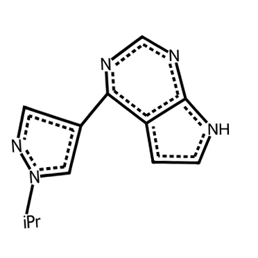 [CH2]C(C)n1cc(-c2ncnc3[nH]ccc23)cn1